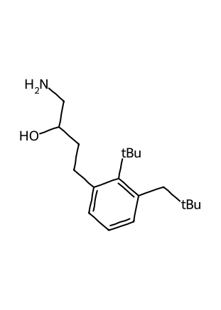 CC(C)(C)Cc1cccc(CCC(O)CN)c1C(C)(C)C